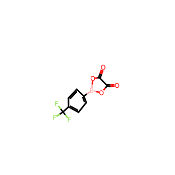 O=C1OB(c2ccc(C(F)(F)F)cc2)OC1=O